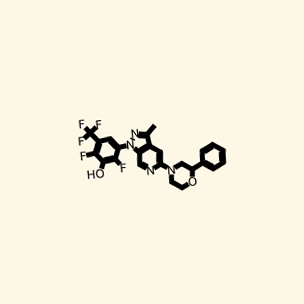 Cc1nn(-c2cc(C(F)(F)F)c(F)c(O)c2F)c2cnc(N3CCOC(c4ccccc4)C3)cc12